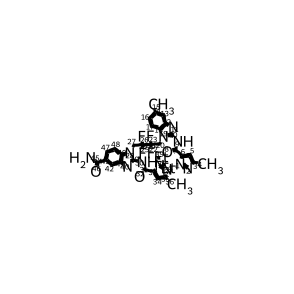 CCn1nc(C)cc1C(=O)Nc1nc2cc(C)ccc2n1CC(F)(F)C(F)(F)Cn1c(NC(=O)c2cc(C)nn2CC)nc2cc(C(N)=O)ccc21